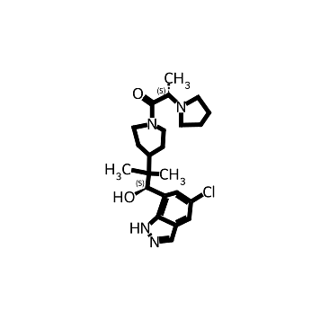 C[C@@H](C(=O)N1CCC(C(C)(C)[C@H](O)c2cc(Cl)cc3cn[nH]c23)CC1)N1CCCC1